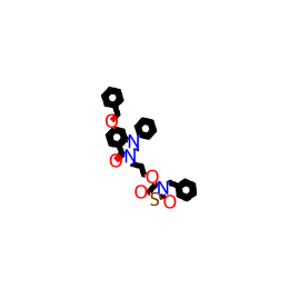 O=C1SC(=O)N(Cc2ccccc2)C1OCCCN1CN(c2ccccc2)c2cc(OCc3ccccc3)ccc2C1=O